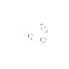 Cc1ccc(NS(=O)(=O)c2ccc(N3COCCS3(=O)=O)cc2C)cc1-c1ccc2ccccc2n1